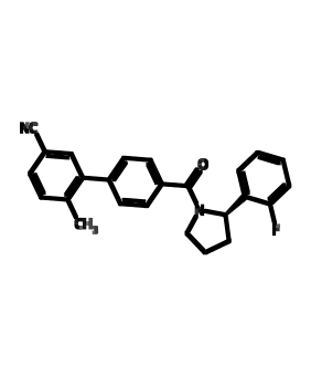 Cc1ccc(C#N)cc1-c1ccc(C(=O)N2CCC[C@@H]2c2ccccc2F)cc1